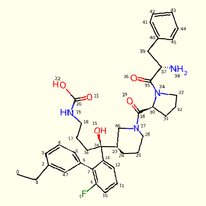 CCc1cccc(-c2c(F)cccc2[C@](O)(CCCNC(=O)O)[C@@H]2CCCN(C(=O)[C@@H]3CCCN3C(=O)[C@@H](N)Cc3ccccc3)C2)c1